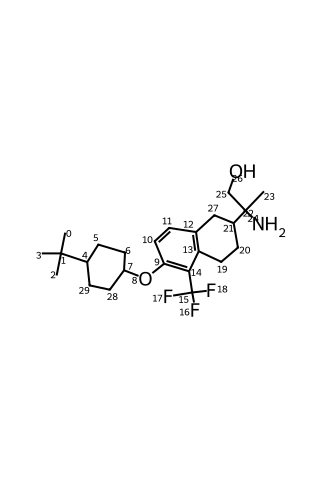 CC(C)(C)C1CCC(Oc2ccc3c(c2C(F)(F)F)CCC(C(C)(N)CO)C3)CC1